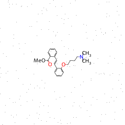 COC(=O)c1ccccc1/C=C/c1ccccc1OCCCCN(C)C